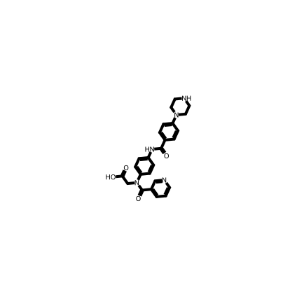 O=C(O)CN(C(=O)c1cccnc1)c1ccc(NC(=O)c2ccc(N3CCNCC3)cc2)cc1